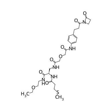 CCOCCNC(=O)[C@@H](CNC(=O)COCC(=O)Nc1ccc(CCC(=O)N2CCC2=O)cc1)NC(=O)CCSC